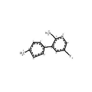 [CH2]c1ccc(-c2cc(F)cnc2N)cc1